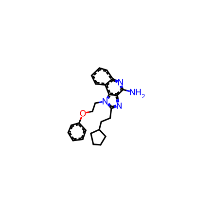 Nc1nc2ccccc2c2c1nc(CCC1CCCC1)n2CCOc1ccccc1